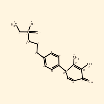 CCP(=O)(O)OCCc1ccc(-n2ccc(=O)c(O)c2C)cc1